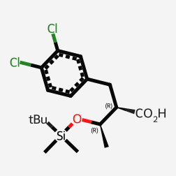 C[C@@H](O[Si](C)(C)C(C)(C)C)[C@@H](Cc1ccc(Cl)c(Cl)c1)C(=O)O